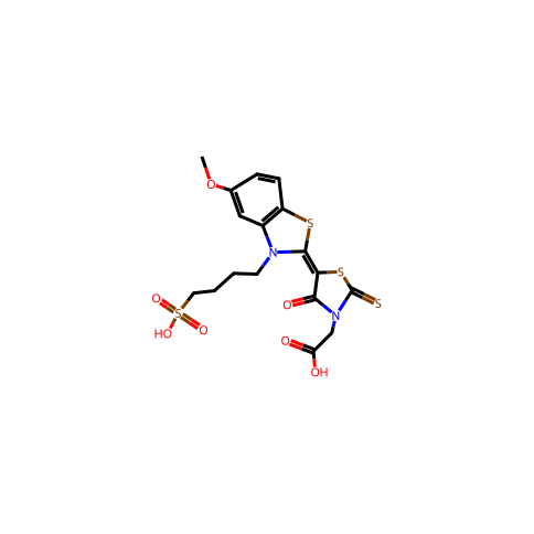 COc1ccc2c(c1)N(CCCCS(=O)(=O)O)C(=C1SC(=S)N(CC(=O)O)C1=O)S2